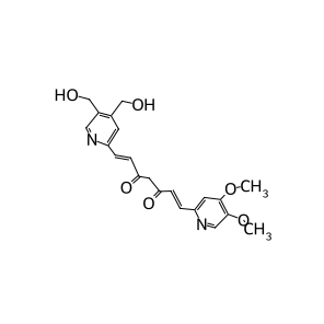 COc1cnc(/C=C/C(=O)CC(=O)/C=C/c2cc(CO)c(CO)cn2)cc1OC